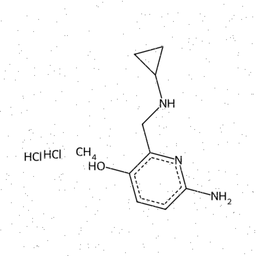 C.Cl.Cl.Nc1ccc(O)c(CNC2CC2)n1